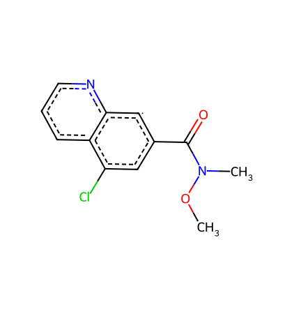 CON(C)C(=O)c1[c]c2ncccc2c(Cl)c1